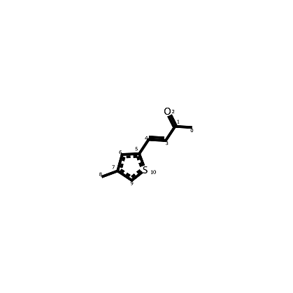 CC(=O)C=Cc1cc(C)cs1